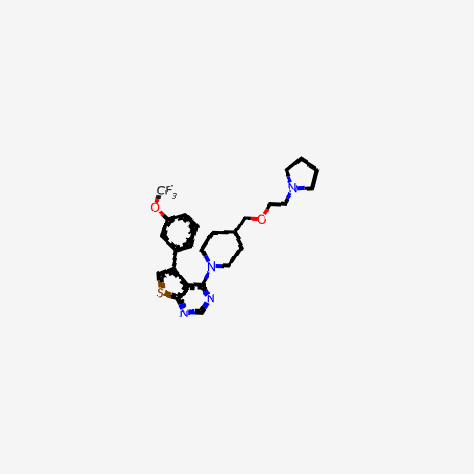 FC(F)(F)Oc1cccc(-c2csc3ncnc(N4CCC(COCCN5CCCC5)CC4)c23)c1